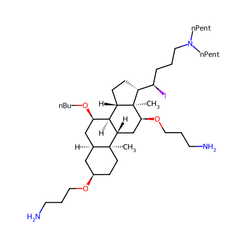 CCCCCN(CCCCC)CCC[C@@H](I)[C@H]1CC[C@H]2[C@@H]3[C@H](OCCCC)C[C@@H]4C[C@H](OCCCN)CC[C@]4(C)[C@H]3C[C@H](OCCCN)[C@]12C